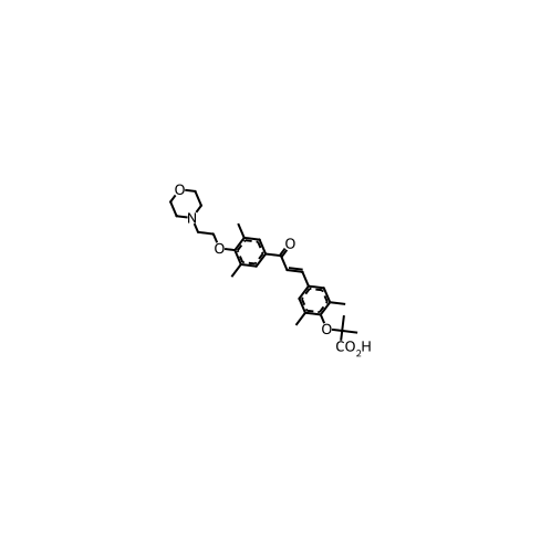 Cc1cc(C(=O)C=Cc2cc(C)c(OC(C)(C)C(=O)O)c(C)c2)cc(C)c1OCCN1CCOCC1